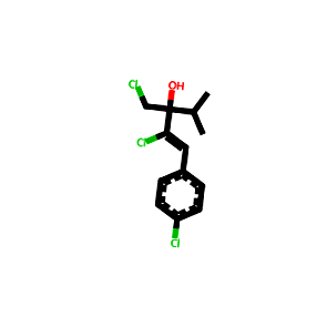 CC(C)C(O)(CCl)/C(Cl)=C/c1ccc(Cl)cc1